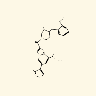 CO[C@H](C)c1cc(-c2conc2C)cn2cc(C(=O)N3CCC(Cc4ccccc4CN)[C@H](O)C3)nc12